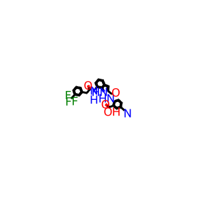 N#Cc1ccc(NC(=O)c2cc3cccc(NC(=O)Cc4cccc(C(F)(F)F)c4)c3[nH]2)c(C(=O)O)c1